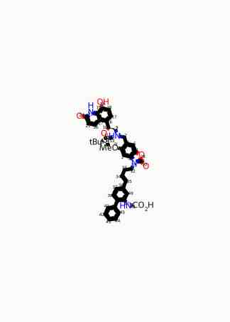 COc1cc2c(cc1CNC[C@H](O[Si](C)(C)C(C)(C)C)c1ccc(O)c3[nH]c(=O)ccc13)oc(=O)n2CC/C=C/c1ccc(-c2ccccc2)c(NC(=O)O)c1